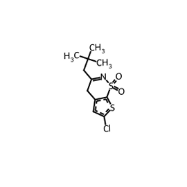 CC(C)(C)CC1=NS(=O)(=O)c2sc(Cl)cc2C1